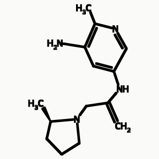 C=C(CN1CCC[C@H]1C)Nc1cnc(C)c(N)c1